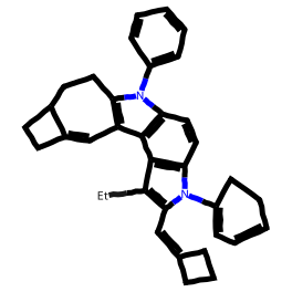 CCc1c(C=C2CCC2)n(C2=CC=CCC2)c2ccc3c(c4c(n3-c3ccccc3)CCC3CCC3=C4)c12